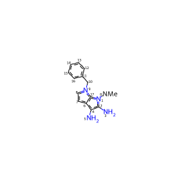 CNn1c(N)c(N)c2ccn(Cc3ccccc3)c21